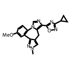 COc1ccc2c(c1)-c1nn(C)cc1Cc1c(-c3nc(C4CC4)no3)ncn1-2